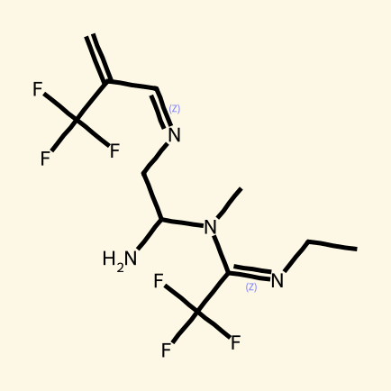 C=C(/C=N\CC(N)N(C)/C(=N\CC)C(F)(F)F)C(F)(F)F